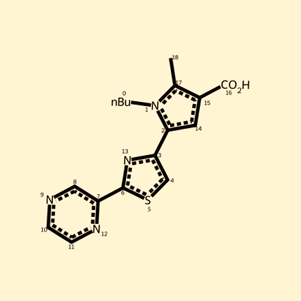 CCCCn1c(-c2csc(-c3cnccn3)n2)cc(C(=O)O)c1C